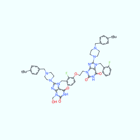 CC(C)(C)c1ccc(CN2CCN(c3nc4c(c(=O)[nH]c(=O)n4CO)n3Cc3cccc(OCCn4c(=O)[nH]c(=O)c5c4nc(N4CCN(Cc6ccc(C(C)(C)C)cc6)CC4)n5Cc4ccccc4F)c3F)CC2)cc1